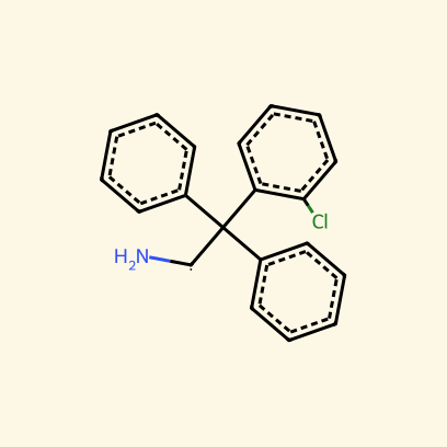 N[CH]C(c1ccccc1)(c1ccccc1)c1ccccc1Cl